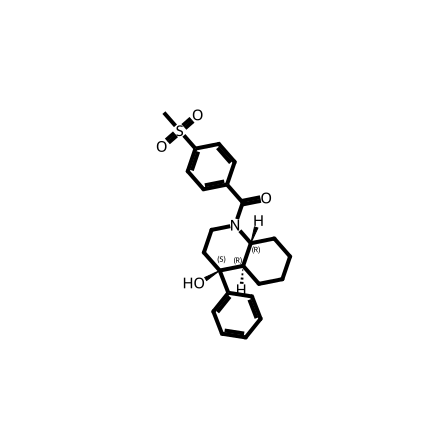 CS(=O)(=O)c1ccc(C(=O)N2CC[C@@](O)(c3ccccc3)[C@@H]3CCCC[C@H]32)cc1